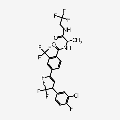 C[C@@H](NC(=O)c1ccc(/C(F)=C/C(c2ccc(F)c(Cl)c2)C(F)(F)F)cc1C(F)(F)F)C(=O)NCC(F)(F)F